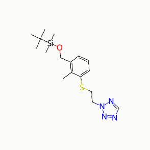 Cc1c(CO[Si](C)(C)C(C)(C)C)cccc1SCCn1ncnn1